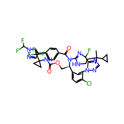 CC(C)(CCN/C1=N\C(F)c2ncnn2-c2cc(ccc2Cl)[C@@H](COC(=O)NC2(C(F)(F)F)CC2)N1C(=O)c1ccc(-c2cnn(C(F)F)c2)cc1)C1CC1